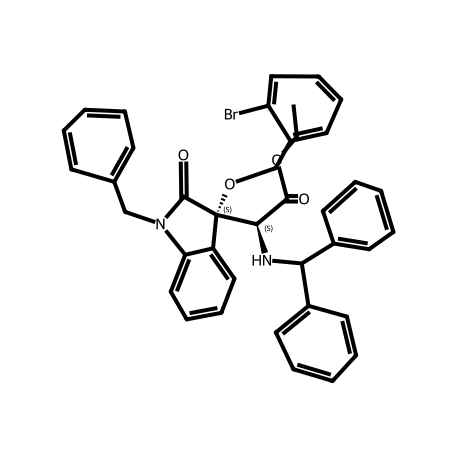 CCOC(=O)[C@@H](NC(c1ccccc1)c1ccccc1)[C@]1(OCc2ccccc2Br)C(=O)N(Cc2ccccc2)c2ccccc21